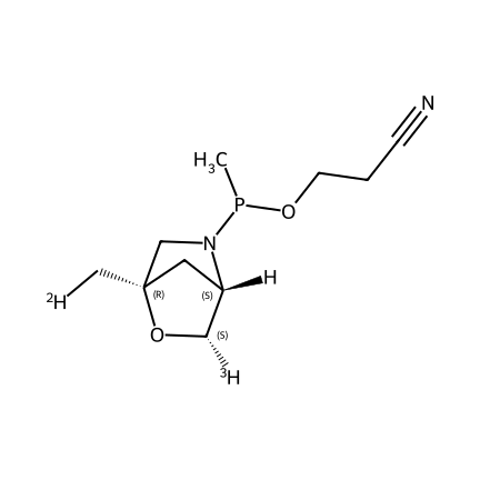 [2H]C[C@]12C[C@@H]([C@H]([3H])O1)N(P(C)OCCC#N)C2